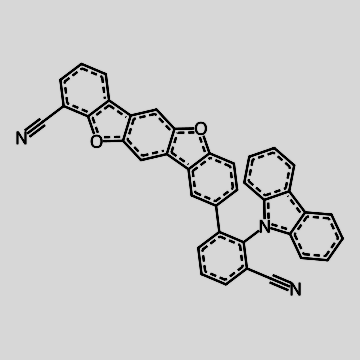 N#Cc1cccc(-c2ccc3oc4cc5c(cc4c3c2)oc2c(C#N)cccc25)c1-n1c2ccccc2c2ccccc21